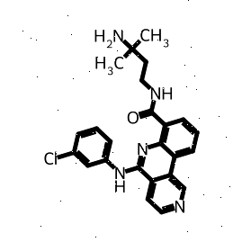 CC(C)(N)CCNC(=O)c1cccc2c1nc(Nc1cccc(Cl)c1)c1ccncc12